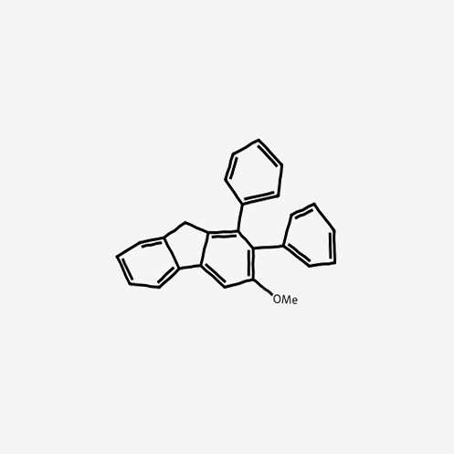 COc1cc2c(c(-c3ccccc3)c1-c1ccccc1)Cc1ccccc1-2